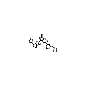 Cc1ccc(-c2cncc3[nH]c(-c4n[nH]c5cnc(-c6cncc(CN7CCCCC7)c6)cc45)cc23)s1